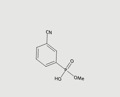 COP(=O)(O)c1cccc(C#N)c1